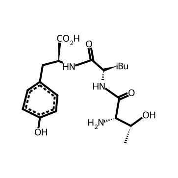 CC[C@H](C)[C@H](NC(=O)[C@@H](N)[C@@H](C)O)C(=O)N[C@@H](Cc1ccc(O)cc1)C(=O)O